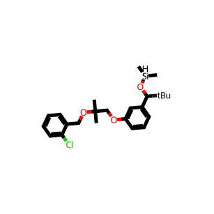 C[SiH](C)OC(c1cccc(OCC(C)(C)OCc2ccccc2Cl)c1)C(C)(C)C